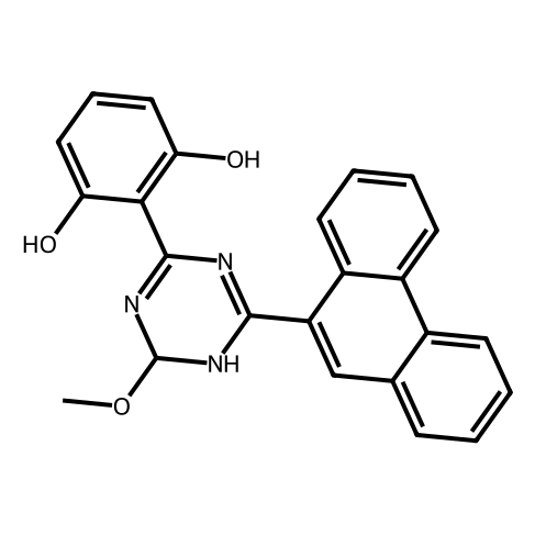 COC1N=C(c2c(O)cccc2O)N=C(c2cc3ccccc3c3ccccc23)N1